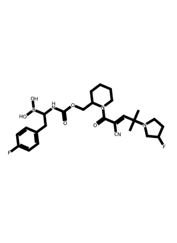 CC(C)(C=C(C#N)C(=O)N1CCCCC1COC(=O)NC(Cc1ccc(F)cc1)B(O)O)N1CCC(F)C1